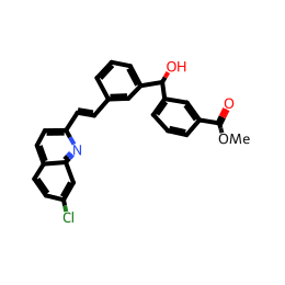 COC(=O)c1cccc(C(O)c2cccc(C=Cc3ccc4ccc(Cl)cc4n3)c2)c1